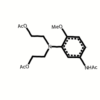 COc1c[c]c(NC(C)=O)cc1N(CCOC(C)=O)CCOC(C)=O